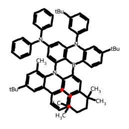 Cc1cc(C(C)(C)C)cc(-c2ccccc2)c1N1c2cc3c(cc2B2c4ccc(C(C)(C)C)cc4N(c4cccc(C(C)(C)C)c4)c4cc(N(c5ccccc5)c5ccccc5)cc1c42)C(C)(C)CCC3(C)C